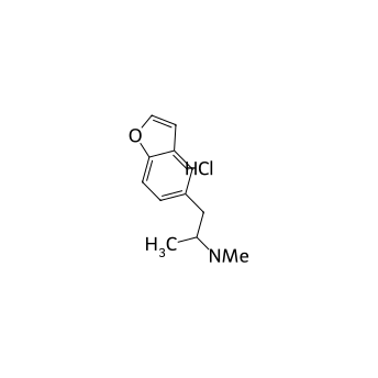 CNC(C)Cc1ccc2occc2c1.Cl